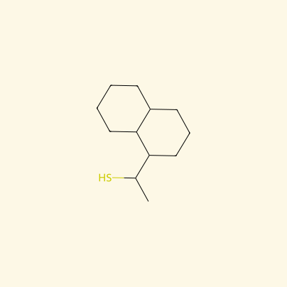 CC(S)C1CCCC2CCCCC21